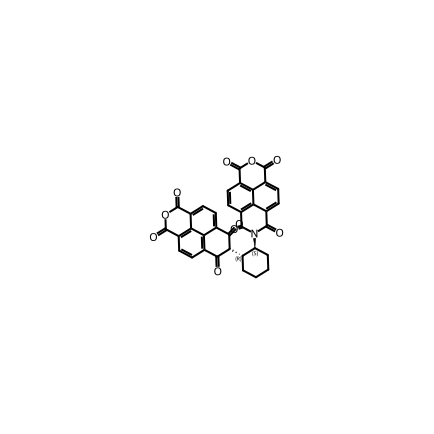 O=C1OC(=O)c2ccc3c4c(ccc1c24)C(=O)C([C@H]1CCCC[C@@H]1N1C(=O)c2ccc4c5c(ccc(c25)C1=O)C(=O)OC4=O)C3=O